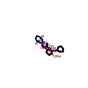 COc1ccc(C(=O)N[C@H]2C[C@H]3CC[C@@H](C2)N3c2ccc(C(=O)NCc3ccccc3)cn2)c(C)c1OC